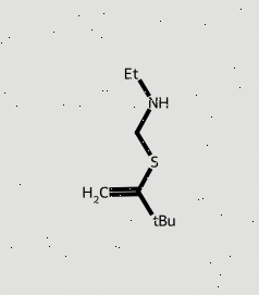 C=C(SCNCC)C(C)(C)C